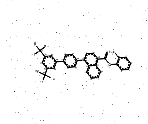 C=C(Oc1ccccc1N)c1ccc(-c2ccc(-c3cc(C(F)(F)F)cc(C(F)(F)F)c3)cc2)c2ccccc12